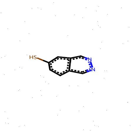 Sc1ccc2cnncc2c1